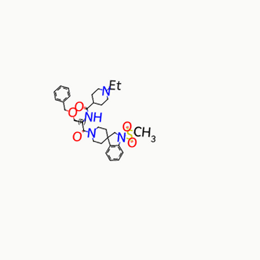 CCN1CCC(C(=O)N[C@H](COCc2ccccc2)C(=O)N2CCC3(CC2)CN(S(C)(=O)=O)c2ccccc23)CC1